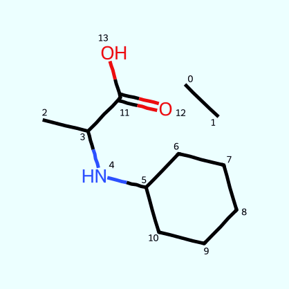 CC.CC(NC1CCCCC1)C(=O)O